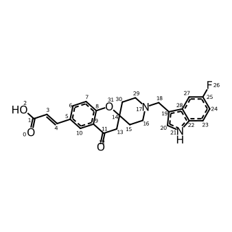 O=C(O)C=Cc1ccc2c(c1)C(=O)CC1(CCN(Cc3c[nH]c4ccc(F)cc34)CC1)O2